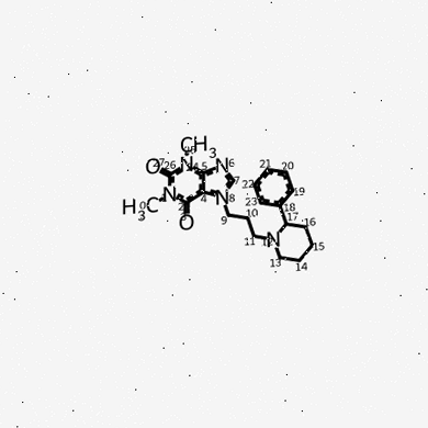 Cn1c(=O)c2c(ncn2CCCN2CCCCC2c2ccccc2)n(C)c1=O